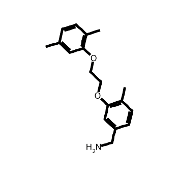 Cc1ccc(C)c(OCCOc2cc(CN)ccc2C)c1